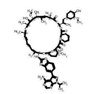 CO[C@@H]1C[C@@H](CC(C)[C@@H]2CC(=O)[C@H](C)/C=C(\C)[C@@H](O)[C@@H](OC)C(O)[C@H](C)C[C@H](C)/C=C/C=C/C=C(/C)[C@@H](Nc3nc4cc(-c5nn(C(C)C)c6ncnc(N)c56)ccc4o3)C[C@@H]3CC[C@@H](C)[C@@](O)(O3)C(=O)C(=O)N3CCCCC3C(=O)O2)CC[C@H]1O